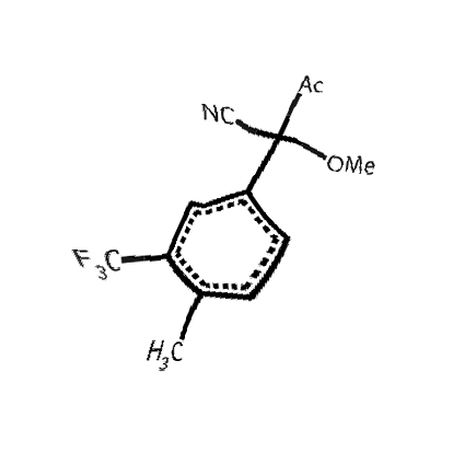 COC(C#N)(C(C)=O)c1ccc(C)c(C(F)(F)F)c1